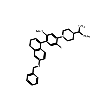 COc1cc(N2CCC(C(OC)OC)CC2)c(F)cc1C1=CCCc2cc(OCc3ccccc3)ccc21